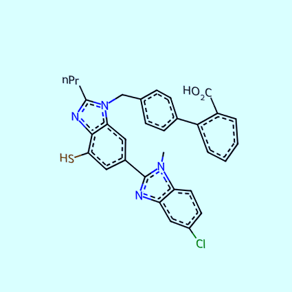 CCCc1nc2c(S)cc(-c3nc4cc(Cl)ccc4n3C)cc2n1Cc1ccc(-c2ccccc2C(=O)O)cc1